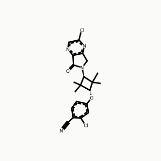 CC1(C)[C@H](Oc2ccc(C#N)c(Cl)c2)C(C)(C)[C@H]1N1Cc2nc(Cl)cnc2C1=O